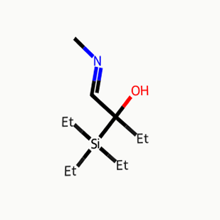 CCC(O)(C=NC)[Si](CC)(CC)CC